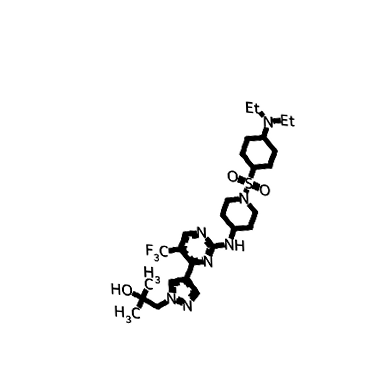 CCN(CC)C1CCC(S(=O)(=O)N2CCC(Nc3ncc(C(F)(F)F)c(-c4cnn(CC(C)(C)O)c4)n3)CC2)CC1